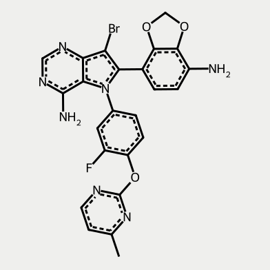 Cc1ccnc(Oc2ccc(-n3c(-c4ccc(N)c5c4OCO5)c(Br)c4ncnc(N)c43)cc2F)n1